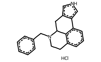 Cl.c1ccc(CN2CCc3cccc4c3C2Cc2c[nH]cc2-4)cc1